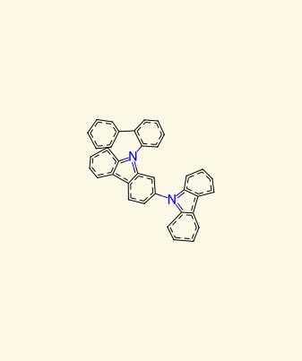 c1ccc(-c2ccccc2-n2c3ccccc3c3ccc(-n4c5ccccc5c5ccccc54)cc32)cc1